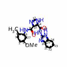 COc1ccc(C)c(NC(=O)c2nc[nH]c2C(=O)Nc2nc3ccccc3[nH]2)c1